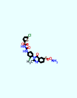 Cc1nc2ccc(SOON)cc2c(=O)n1-c1ccc(NC(=O)NS(=O)(=O)c2ccc(Cl)s2)cc1F